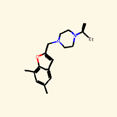 C=C(CC)N1CCN(Cc2cc3cc(C)cc(C)c3o2)CC1